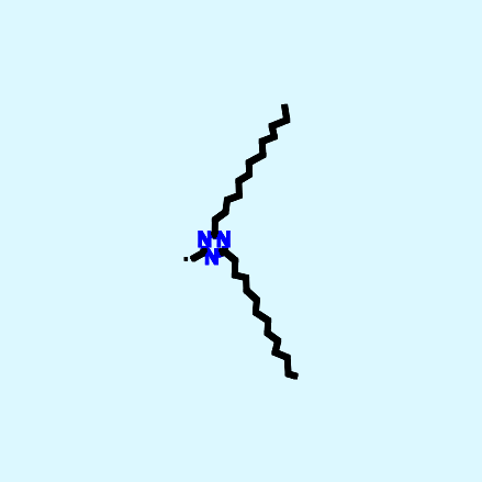 [CH2]c1nc(CCCCCCCCCCCCC)nc(CCCCCCCCCCCCC)n1